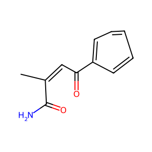 CC(=CC(=O)c1ccccc1)C(N)=O